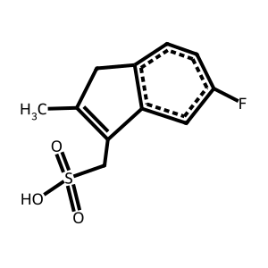 CC1=C(CS(=O)(=O)O)c2cc(F)ccc2C1